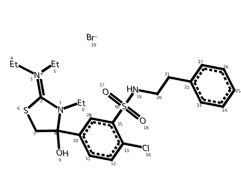 CCN1C(=[N+](CC)CC)SCC1(O)c1ccc(Cl)c(S(=O)(=O)NCCc2ccccc2)c1.[Br-]